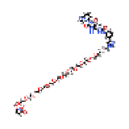 O=C(CCOCCOCCOCCOCCOCCOCCOCCOCCOCCOCCOCCOCCn1cc(-c2cccc(NC(=O)N3CCC4(CC3)NC(=O)N(c3cccc5nccn35)C4=O)c2)nn1)ON1C(=O)CCC1=O